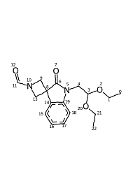 CCOC(CN1C(=O)C2(CN(C=O)C2)c2ccccc21)OCC